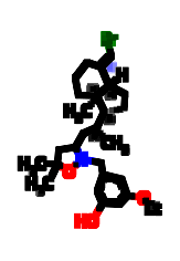 CCOc1cc(O)cc(CN2OC(C)(C)CC2C[C@@H](C)[C@H]2CC[C@H]3/C(=C/Br)CCC[C@]23C)c1